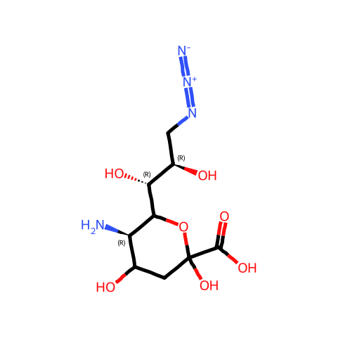 [N-]=[N+]=NC[C@@H](O)[C@@H](O)C1OC(O)(C(=O)O)CC(O)[C@H]1N